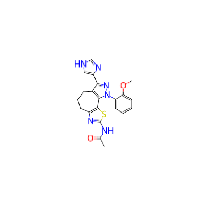 COc1ccccc1-n1nc(-c2c[nH]cn2)c2c1-c1sc(NC(C)=O)nc1CCC2